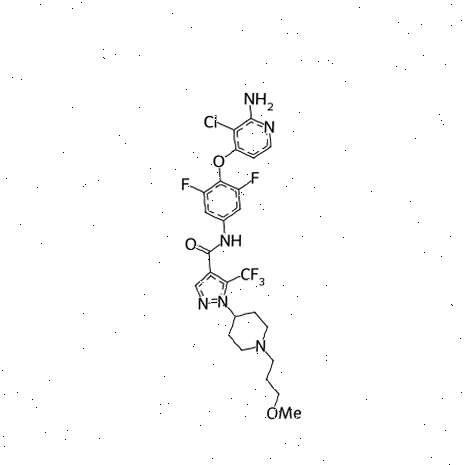 COCCCN1CCC(n2ncc(C(=O)Nc3cc(F)c(Oc4ccnc(N)c4Cl)c(F)c3)c2C(F)(F)F)CC1